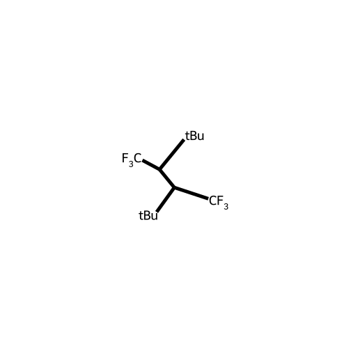 CC(C)(C)C(C(C(C)(C)C)C(F)(F)F)C(F)(F)F